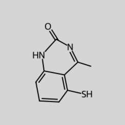 Cc1nc(=O)[nH]c2cccc(S)c12